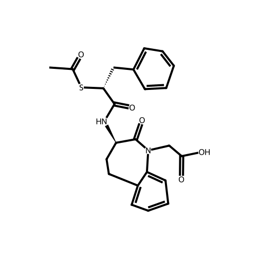 CC(=O)S[C@H](Cc1ccccc1)C(=O)N[C@@H]1CCc2ccccc2N(CC(=O)O)C1=O